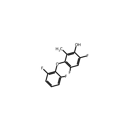 Cc1c(O)c(F)cc(F)c1Oc1c(F)cccc1F